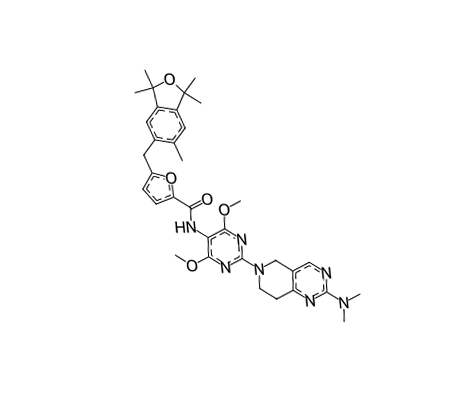 COc1nc(N2CCc3nc(N(C)C)ncc3C2)nc(OC)c1NC(=O)c1ccc(Cc2cc3c(cc2C)C(C)(C)OC3(C)C)o1